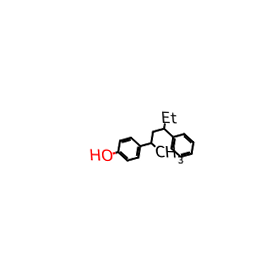 CCC(CC(C)c1ccc(O)cc1)c1ccccc1